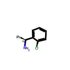 CC(C)[C@H](N)c1ccccc1Cl